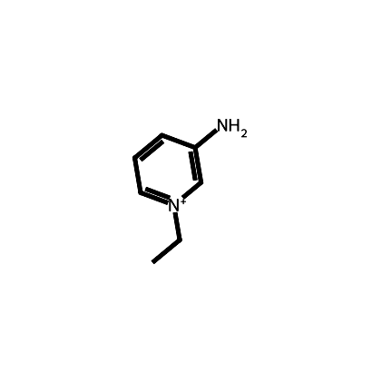 CC[n+]1cccc(N)c1